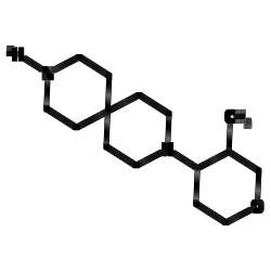 [2H]N1CCC2(CC1)CCN(C1CCOCC1C)CC2